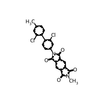 Cc1ccc(-c2ccc(-n3c(=O)c4cc5c(=O)n(C)c(=O)c5cc4c3=O)cc2Cl)c(Cl)c1